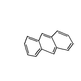 [c]1[c]c2cc3ccccc3cc2cc1